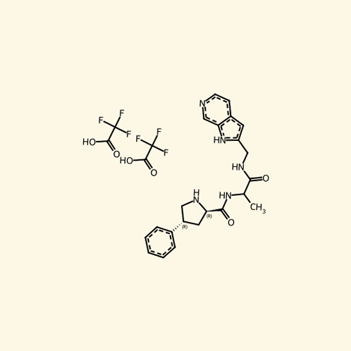 CC(NC(=O)[C@H]1C[C@H](c2ccccc2)CN1)C(=O)NCc1cc2ccncc2[nH]1.O=C(O)C(F)(F)F.O=C(O)C(F)(F)F